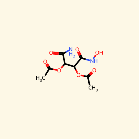 CC(=O)OC(C(N)=O)C(OC(C)=O)C(=O)NO